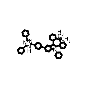 CC1(C)c2ccccc2-c2c(n(-c3ccccc3)c3ccc(-c4ccc(C5=NC(c6ccccc6)=NC(c6ccccc6)N5)cc4)cc23)-c2ccccc21